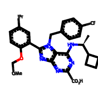 COCOc1ccc(C(C)C)cc1-c1nc2nc(C(=O)O)nc(N[C@H](C)C3CCC3)c2n1Cc1ccc(C(F)(F)F)cc1